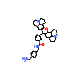 NCc1ccc(CNC(=O)C2C=C(C3=c4cc5c6c(c4Oc4c3cc3c7c4CCCN7CCC3)CCC[N+]=6CCC5)C=CC2)cc1